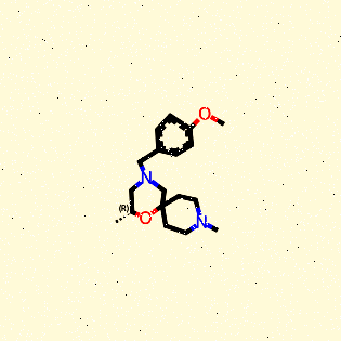 COc1ccc(CN2C[C@@H](C)OC3(CCN(C)CC3)C2)cc1